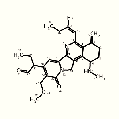 C=C1CCC(NC)c2c3c(nc(/C=C(/F)CC)c21)-c1cc(C(C=O)CC)c(COC)c(=O)n1C3